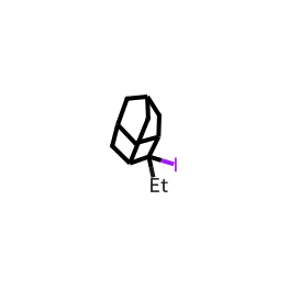 CCC1(I)C2CC3CC(C2)CC1C3